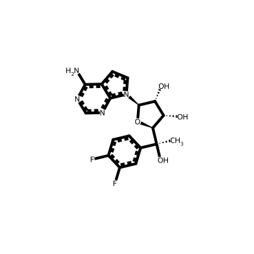 C[C@](O)(c1ccc(F)c(F)c1)[C@H]1O[C@@H](n2ccc3c(N)ncnc32)[C@H](O)[C@@H]1O